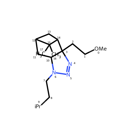 COCCC12N=NN(CCC(C)C)C1CC1CC2C1(C)C